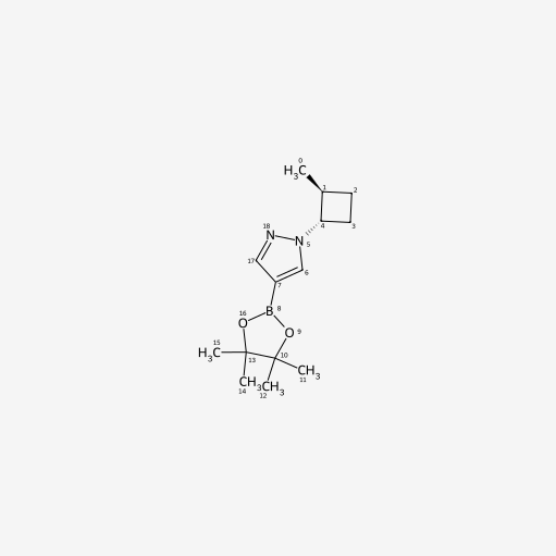 C[C@H]1CC[C@@H]1n1cc(B2OC(C)(C)C(C)(C)O2)cn1